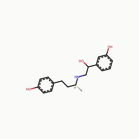 C[C@H](CCc1ccc(O)cc1)NCC(O)c1cccc(O)c1